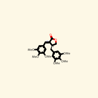 COc1cc(/C=C2/C(=O)OC[C@H]2Cc2cc(OC)c(OC)c(OC)c2)cc(OC)c1OC